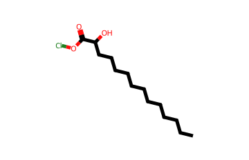 CCCCCCCCCCCCC(O)C(=O)OCl